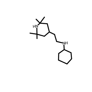 CC1(C)CC(CCNC2CCCCC2)CC(C)(C)N1